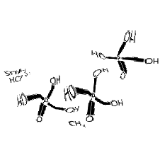 C.Cl.O=P(O)(O)O.O=P(O)(O)O.O=P(O)(O)O.[SnH2]